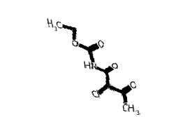 CCOC(=O)NC(=O)C(Cl)C(C)=O